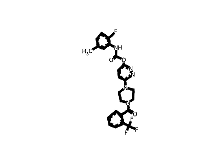 Cc1ccc(F)c(NC(=O)Oc2ccc(N3CCN(C(=O)c4ccccc4C(F)(F)F)CC3)nn2)c1